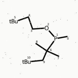 CP(OCCC(C)(C)C)C(C)(C)CC(C)(C)C